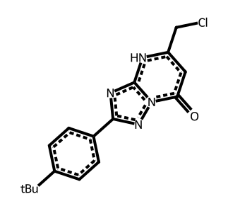 CC(C)(C)c1ccc(-c2nc3[nH]c(CCl)cc(=O)n3n2)cc1